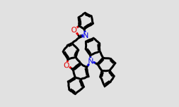 c1ccc2c(c1)cc(-n1c3ccccc3c3ccc4ccccc4c31)c1c3cc(-c4nc5ccccc5o4)ccc3oc21